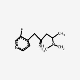 CC(CC(=N)Cc1ccncc1F)N(C)C